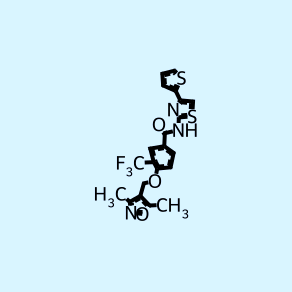 Cc1noc(C)c1COc1ccc(C(=O)Nc2nc(-c3cccs3)cs2)cc1C(F)(F)F